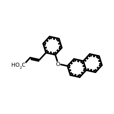 O=C(O)C=Cc1ccccc1Oc1ccc2ccccc2c1